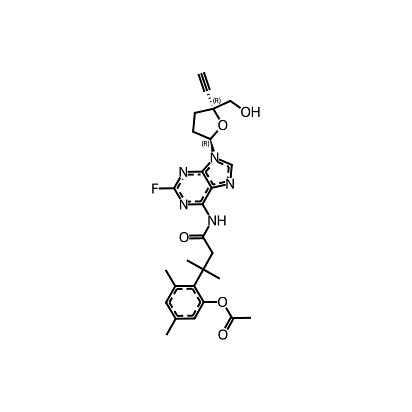 C#C[C@@]1(CO)CC[C@H](n2cnc3c(NC(=O)CC(C)(C)c4c(C)cc(C)cc4OC(C)=O)nc(F)nc32)O1